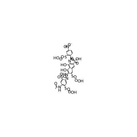 CC(=O)Nc1cc(S(=O)(=O)O)c(/N=N/c2c(SOOO)cc3cc(S(=O)(=O)O)c(/N=N/c4ccc([N+](=O)[O-])cc4SOOO)c(O)c3c2O)cc1SOOO